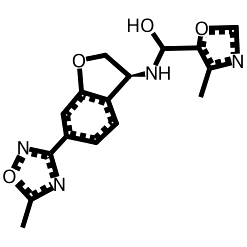 Cc1nc(-c2ccc3c(c2)OC[C@H]3NC(O)c2ocnc2C)no1